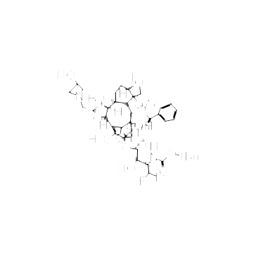 CC(=O)O[C@@]12CO[C@@H]1CC[C@@]1(C)[C@@H]3O[C@H](CN4CC(O)C4)O[C@@H]3C3=C(C)[C@@H](OC(=O)[C@H](O)[C@@H](NC(=O)OC(C)(C)C)C(F)F)C[C@@](O)([C@@H](OC(=O)c4ccccc4)[C@@H]12)C3(C)C